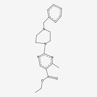 CCOC(=O)c1cnc(N2CCN(Cc3ccccc3)CC2)nc1C